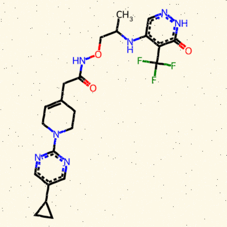 CC(CONC(=O)CC1=CCN(c2ncc(C3CC3)cn2)CC1)Nc1cn[nH]c(=O)c1C(F)(F)F